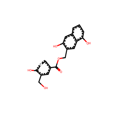 O=C(OCc1cc2c(O)cccc2cc1O)c1ccc(O)c(CO)c1